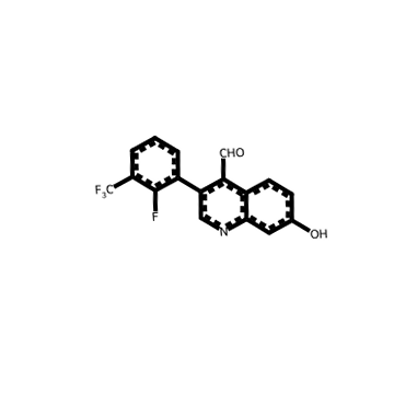 O=Cc1c(-c2cccc(C(F)(F)F)c2F)cnc2cc(O)ccc12